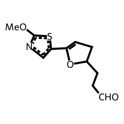 COc1ncc(C2=CCC(CCC=O)O2)s1